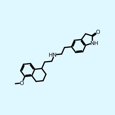 COc1cccc2c1CCCC2CCNCCc1ccc2c(c1)CC(=O)N2